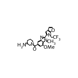 COc1cc(C(=O)N2CCC[C@@H](N)C2)cc2nc(-c3cc4ccoc4n3CC(F)(F)F)n(C)c12